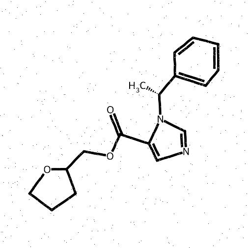 C[C@H](c1ccccc1)n1cncc1C(=O)OCC1CCCO1